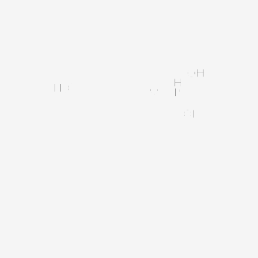 CCCCc1cccc2ccccc12.O=[PH](O)O